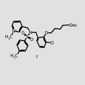 CCCCCCCCCCCCCCOc1c(Cl)cccc1CN(Cc1ccc[n+](C)c1)S(=O)(=O)c1ccc(C)cc1.[I-]